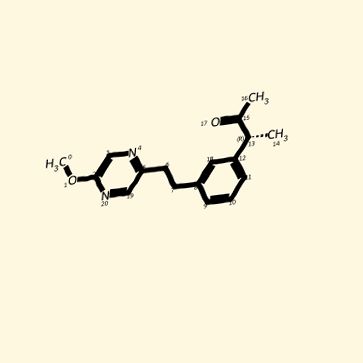 COc1cnc(CCc2cccc([C@@H](C)C(C)=O)c2)cn1